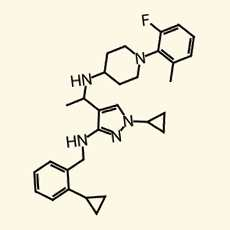 Cc1cccc(F)c1N1CCC(NC(C)c2cn(C3CC3)nc2NCc2ccccc2C2CC2)CC1